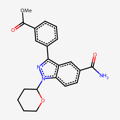 COC(=O)c1cccc(-c2nn(C3CCCCO3)c3ccc(C(N)=O)cc23)c1